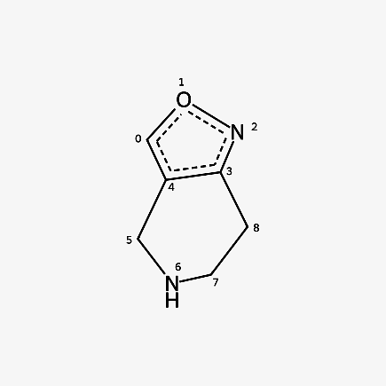 c1onc2c1CNCC2